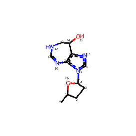 CC1CCC(n2cnc3c2N=CNCC3O)O1